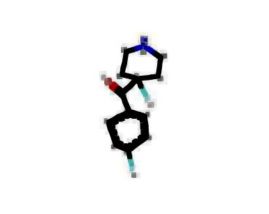 O=C(c1ccc(F)cc1)C1(F)CCNCC1